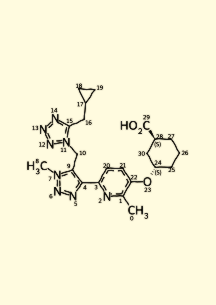 Cc1nc(-c2nnn(C)c2Cn2nnnc2CC2CC2)ccc1O[C@H]1CCC[C@H](C(=O)O)C1